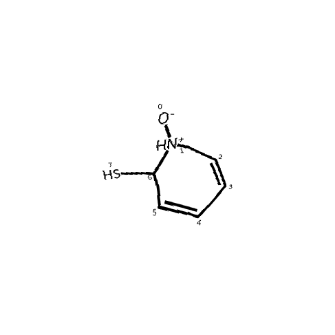 [O-][NH+]1C=CC=CC1S